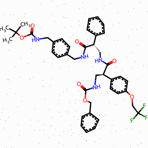 CC(C)(C)OC(=O)NCc1ccc(CNC(=O)[C@@H](CNC(=O)[C@H](CNC(=O)OCc2ccccc2)c2ccc(OCC(F)(F)F)cc2)c2ccccc2)cc1